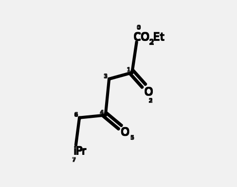 CCOC(=O)C(=O)CC(=O)CC(C)C